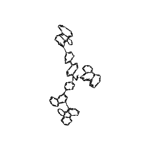 c1ccc2c(-c3cccc4c3oc3ccccc34)cc(-c3ccc(N(c4ccc(-c5ccc(-c6cccc7c6oc6ccccc67)cc5)cc4)c4cc5ccccc5c5ccccc45)cc3)cc2c1